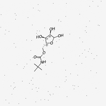 CC(C)(C)NC(=O)OC[C@H]1OC(O)[C@H](O)[C@@H]1O